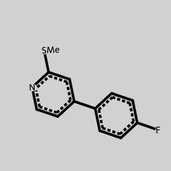 CSc1cc(-c2ccc(F)cc2)ccn1